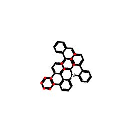 c1ccc(-c2ccccc2-c2c(-c3ccccc3)cccc2N(c2ccc3c(ccc4ccccc43)c2)c2ccccc2-c2ccccc2)cc1